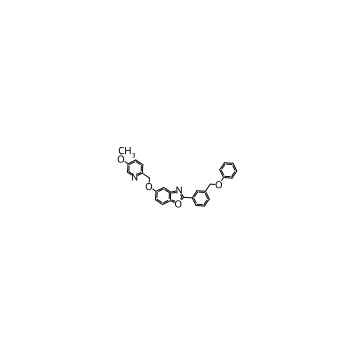 COc1ccc(COc2ccc3oc(-c4cccc(COc5ccccc5)c4)nc3c2)nc1